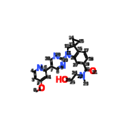 COc1ccnc(-c2cnc(N3CC4(CC4)c4ccc(C(=O)N(C)CCO)cc43)nc2)c1